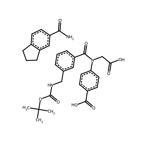 CC(C)(C)OC(=O)NCc1cccc(C(=O)N(CC(=O)O)c2ccc(C(=O)O)cc2)c1.NC(=O)c1ccc2c(c1)CCC2